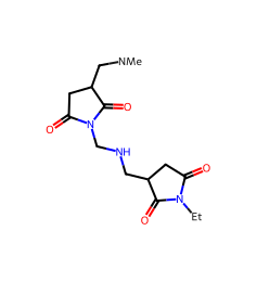 CCN1C(=O)CC(CNCN2C(=O)CC(CNC)C2=O)C1=O